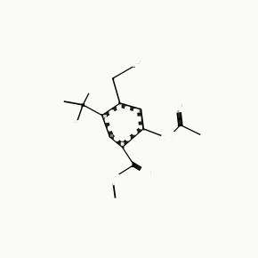 COC(=O)c1cc(C(F)(F)F)c(CBr)cc1OC(C)=O